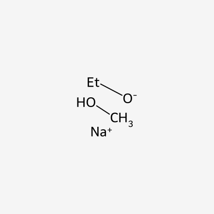 CC[O-].CO.[Na+]